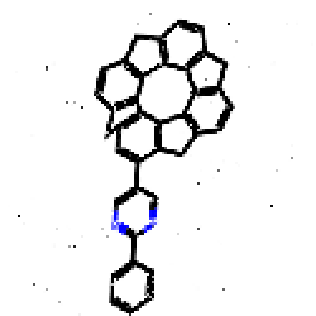 c1ccc(-c2ncc(-c3cc4c5c6c3Cc3ccc7c(c3-6)-c3c(ccc6c3-c3c(ccc(c3-5)C4)C6)C7)cn2)cc1